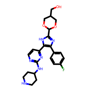 OCC1COC(c2nc(-c3ccc(F)cc3)c(-c3ccnc(NC4CCNCC4)n3)[nH]2)OC1